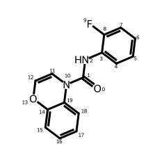 O=C(Nc1ccccc1F)N1C=COc2ccccc21